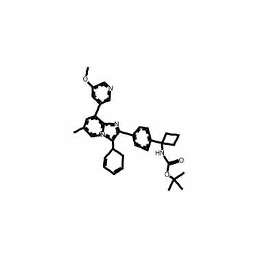 COc1cncc(-c2cc(C)cn3c(C4C=CC=CC4)c(-c4ccc(C5(NC(=O)OC(C)(C)C)CCC5)cc4)nc23)c1